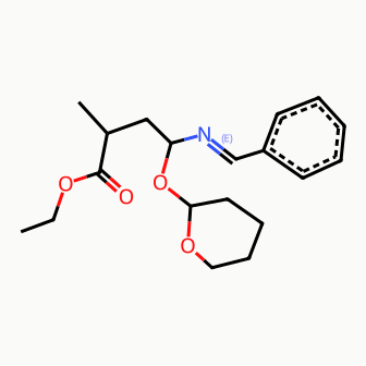 CCOC(=O)C(C)CC(/N=C/c1ccccc1)OC1CCCCO1